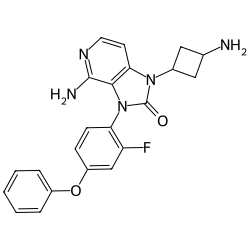 Nc1nccc2c1n(-c1ccc(Oc3ccccc3)cc1F)c(=O)n2C1CC(N)C1